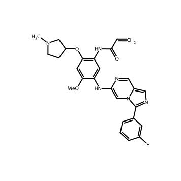 C=CC(=O)Nc1cc(Nc2cn3c(-c4cccc(F)c4)ncc3cn2)c(OC)cc1OC1CCN(C)C1